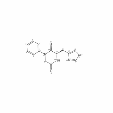 O=C1CN(c2ccccc2)C(=O)[C@@H](Cc2c[nH]cn2)N1